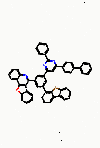 C1=c2c(sc3ccccc23)=C(c2cc(-c3cc(-c4ccc(-c5ccccc5)cc4)nc(-c4ccccc4)n3)cc(-c3nc4ccccc4c4oc5ccccc5c34)c2)CC1